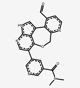 CN(C)C(=O)c1cncc(-c2cnc3[nH]cc4c3c2OCc2nccc(C=O)c2-4)c1